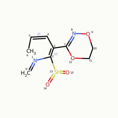 C=N/C(=C(\C=C/C)C1=NOCCO1)[SH](=O)=O